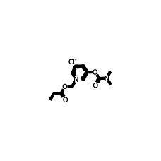 CCC(=O)OC[n+]1cccc(OC(=O)N(C)C)c1.[Cl-]